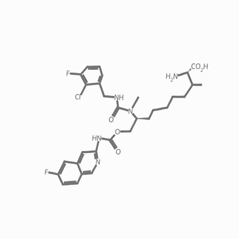 CC(CCCCC[C@@H](COC(=O)Nc1cc2cc(F)ccc2cn1)N(C)C(=O)NCc1cccc(F)c1Cl)[C@H](N)C(=O)O